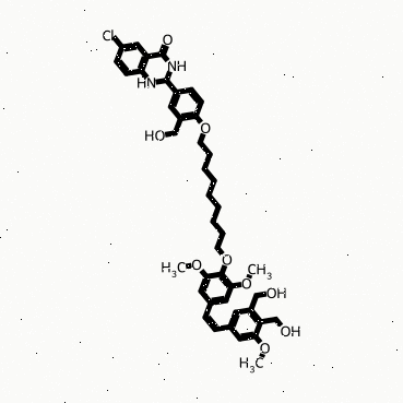 COc1cc(/C=C\c2cc(OC)c(OCCCCCCCCCOc3ccc(C4NC(=O)c5cc(Cl)ccc5N4)cc3CO)c(OC)c2)cc(CO)c1CO